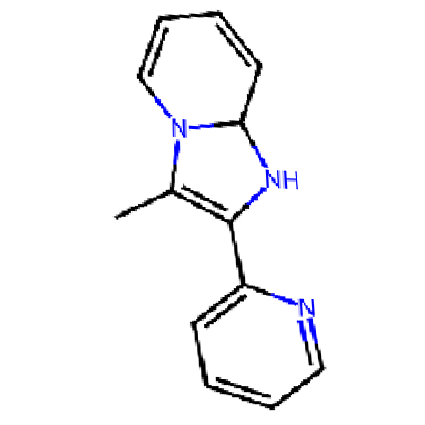 CC1=C(c2ccccn2)NC2C=CC=CN12